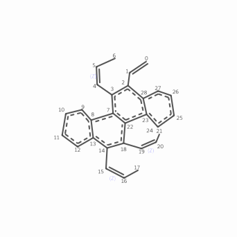 C=Cc1c(/C=C\C)c2c3ccccc3c(/C=C\C)c(/C=C\C)c2c2ccccc12